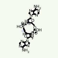 Nc1ncnc2c1ncn2[C@@H]1O[C@@H]2/C=C\P(=O)(O)O[C@H]3C[C@H](n4cnc5c(N)ncnc54)OC3COP(=O)(O)O[C@H]2[C@H]1F